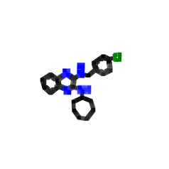 Clc1ccc(CNc2nc3ccccc3nc2NC2CCCCCC2)cc1